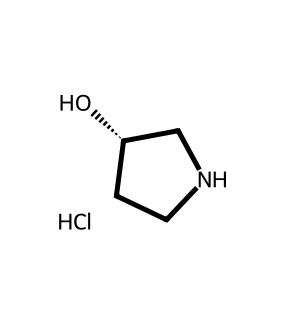 Cl.O[C@H]1CCNC1